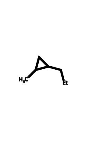 CCCC1CC1C